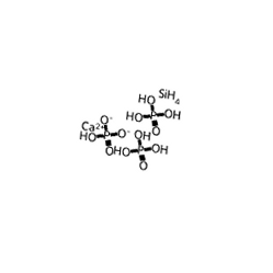 O=P(O)(O)O.O=P(O)(O)O.O=P([O-])([O-])O.[Ca+2].[SiH4]